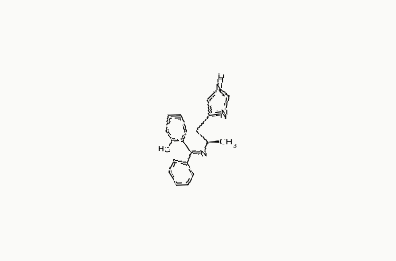 C[C@H](Cc1c[nH]cn1)/N=C(/c1ccccc1)c1ccccc1O